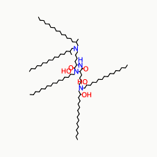 CCCCCCCCCCCCCCC(C)CN(CCCCC1NC(=O)C(CCCCN(CC(O)CCCCCCCCCCCCCC)CC(O)CCCCCCCCCCCCCC)N(CC(O)CCCCCCCCCCCCCC)C1=O)CC(C)CCCCCCCCCCCCCC